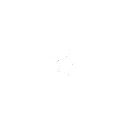 C=C1N(C)N=NN1C